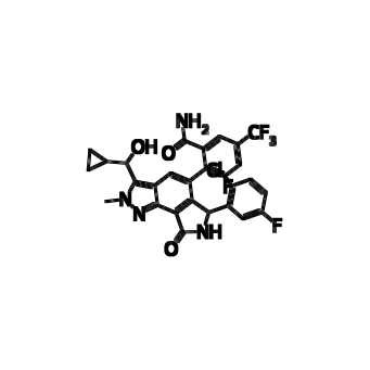 Cn1nc2c3c(c(-c4c(F)cc(C(F)(F)F)cc4C(N)=O)cc2c1C(O)C1CC1)C(c1cc(F)ccc1Cl)NC3=O